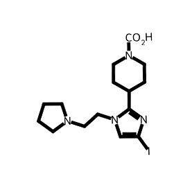 O=C(O)N1CCC(c2nc(I)cn2CCN2CCCC2)CC1